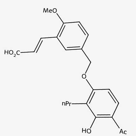 CCCc1c(OCc2ccc(OC)c(C=CC(=O)O)c2)ccc(C(C)=O)c1O